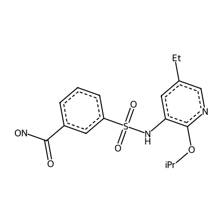 CCc1cnc(OC(C)C)c(NS(=O)(=O)c2cccc(C(=O)N=O)c2)c1